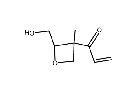 C=CC(=O)C1(C)COC1CO